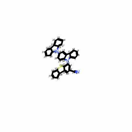 N#Cc1cc(-n2c3ccccc3c3cc(-n4c5ccccc5c5ccccc54)ccc32)c2sc3ccccc3c2c1